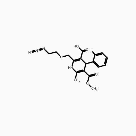 COC(=O)C1=C(C)NC(COCCN=[N+]=[N-])=C(C(=O)O)C1c1ccccc1Cl